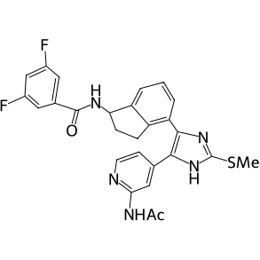 CSc1nc(-c2cccc3c2CCC3NC(=O)c2cc(F)cc(F)c2)c(-c2ccnc(NC(C)=O)c2)[nH]1